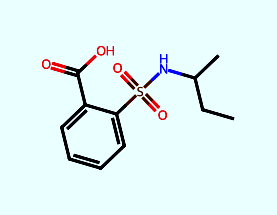 CCC(C)NS(=O)(=O)c1ccccc1C(=O)O